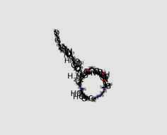 COCCOCCN1CCN(c2ncc(CNC(=O)O[C@@H]3CC[C@@H](C[C@@H](N)[C@@H]4CC(=O)[C@H](C)/C=C(\C)[C@@H](O)[C@@H](O)C(=O)[C@H](C)C[C@H](C)/C=C/C=C/C=C(\C)[C@@H](OC)C[C@@H]5CC[C@@H](C)[C@@](O)(O5)C(=O)C(=O)N5CCCC[C@H]5C(=O)O4)C[C@H]3OC)cn2)CC1